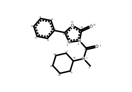 CN(C(=O)n1nc(-c2ccccc2)oc1=O)C1CCCCC1